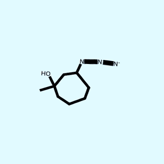 CC1(O)CCCCC(N=[N+]=[N-])C1